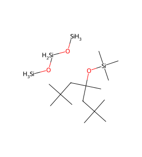 CC(C)(C)CC(C)(CC(C)(C)C)O[Si](C)(C)C.[SiH3]O[SiH2]O[SiH3]